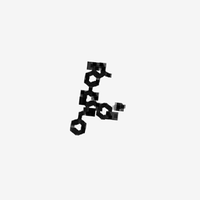 Cc1n[nH]c2ccc(-c3nnc(NCc4ccccc4)c(N4CCN[C@@H](C(C)C)C4)n3)cc12